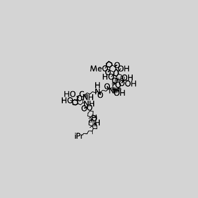 COc1cccc2c1C(=O)c1c(O)c3c(c(O)c1C2=O)C[C@@](O)(C(=O)CO)C[C@@H]3O[C@H]1C[C@H](NC(=O)CCC(=O)NCCCC[C@@H](NC(=O)C(Cc2ccc(O)cc2)NC(=O)OC2CCC3(C)C(=CCC4[C@@H]3CCC3(C)C(C(C)CCCC(C)C)CC[C@@H]43)C2)C(=O)O)[C@H](O)[C@H](C)O1